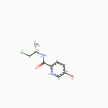 C[C@@H](CCl)NC(=O)c1ccc(Br)cn1